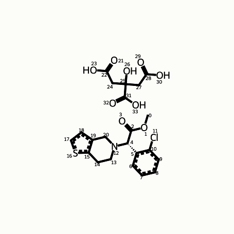 COC(=O)[C@H](c1ccccc1Cl)N1CCc2sccc2C1.O=C(O)CC(O)(CC(=O)O)C(=O)O